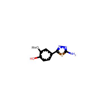 COc1cc(-c2nnc(N)s2)ccc1O